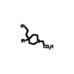 CC(C)CCC1(C(C)C)CCN(CC(=O)O)CC1